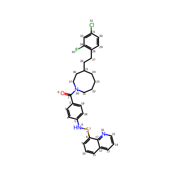 O=C(c1ccc(NSc2cccc3cccnc23)cc1)N1CCCCC(CCc2ccc(Cl)cc2F)CC1